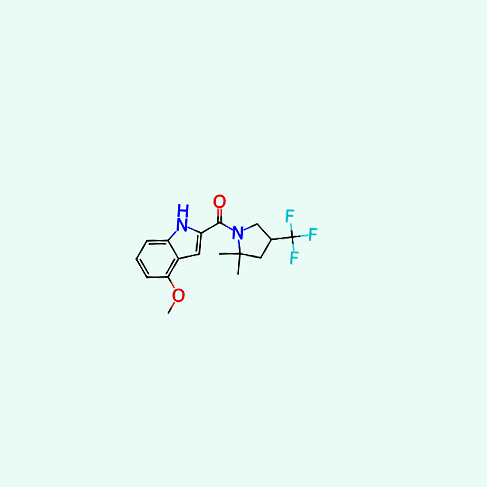 COc1cccc2[nH]c(C(=O)N3CC(C(F)(F)F)CC3(C)C)cc12